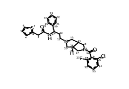 O=C(Cc1cccs1)NC(CCN1CC2CN(C(=O)c3c(F)cccc3Cl)C[C@@H]2C1)c1ccccc1